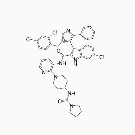 O=C(Nc1cccnc1N1CCC(NC(=O)N2CCCC2)CC1)c1[nH]c2cc(Cl)ccc2c1-c1c(-c2ccccc2)ncn1Cc1ccc(Cl)cc1Cl